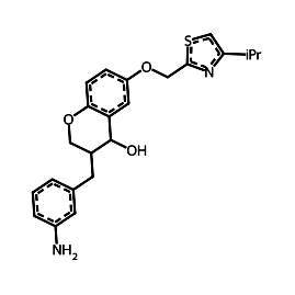 CC(C)c1csc(COc2ccc3c(c2)C(O)C(Cc2cccc(N)c2)CO3)n1